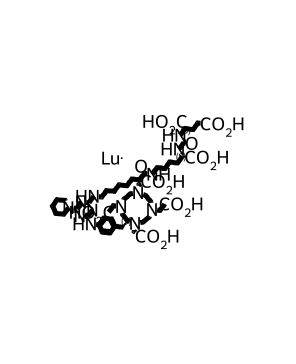 O=C(O)CC[C@H](NC(=O)N[C@@H](CCCCNC(=O)CCCCCCCNc1nc(Nc2ccc(C[C@H]3CN(CC(=O)O)CCN(CC(=O)O)CCN(CC(=O)O)CCN3CC(=O)O)cc2)nc(N2CCCCC2)n1)C(=O)O)C(=O)O.[Lu]